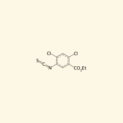 CCOC(=O)c1cc(N=C=S)c(Cl)cc1Cl